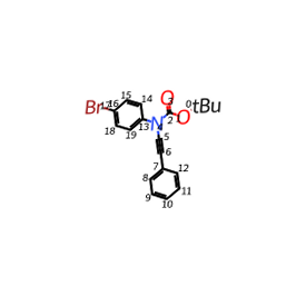 CC(C)(C)OC(=O)N(C#Cc1ccccc1)c1ccc(Br)cc1